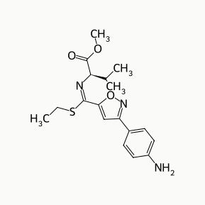 CCSC(=N[C@@H](C(=O)OC)C(C)C)c1cc(-c2ccc(N)cc2)no1